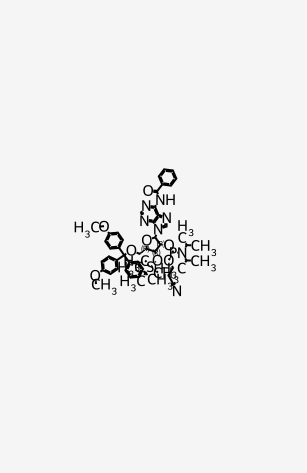 COc1ccc(C(OC[C@H]2OC(n3cnc4c(NC(=O)c5ccccc5)ncnc43)[C@H](OP(OCCC#N)N(C(C)C)C(C)C)[C@@H]2O[Si](C)(C)C(C)(C)C)(c2ccccc2)c2ccc(OC)cc2)cc1